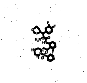 C[C@H]1CNC[C@H](CCc2c(F)cccc2NC(=O)[C@@H](N)C(c2ccc(F)c(F)c2)C2CCOCC2)N1S(=O)(=O)c1ccccc1